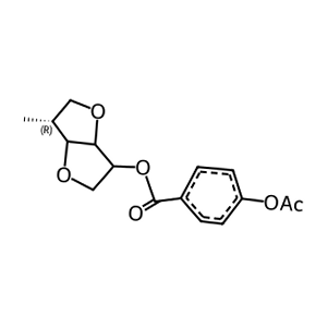 CC(=O)Oc1ccc(C(=O)OC2COC3C2OC[C@H]3C)cc1